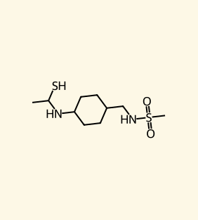 CC(S)NC1CCC(CNS(C)(=O)=O)CC1